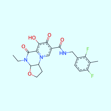 CCN1C(=O)c2c(O)c(=O)c(C(=O)NCc3ccc(F)c(C)c3F)cn2C2CCOC21